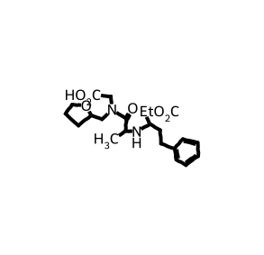 CCOC(=O)C(CCc1ccccc1)NC(C)C(=O)N(CC(=O)O)CC1CCCO1